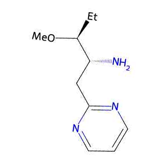 CC[C@H](OC)[C@H](N)Cc1ncccn1